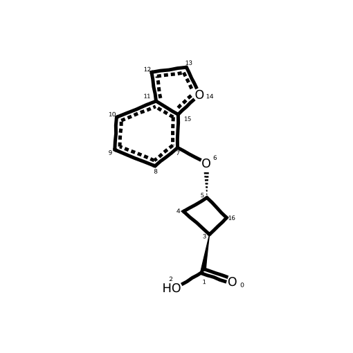 O=C(O)[C@H]1C[C@H](Oc2cccc3ccoc23)C1